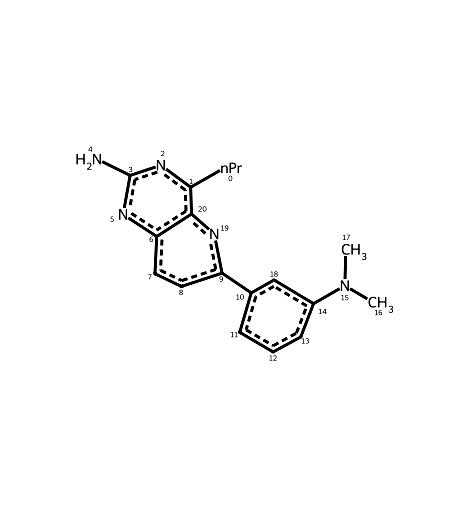 CCCc1nc(N)nc2ccc(-c3cccc(N(C)C)c3)nc12